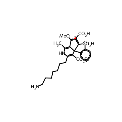 CCOC(=O)C1=C(CCCCCCCN)NC(C)=C(C(=O)OC)C1(/C(=C/C(=O)O)C(=O)O)c1ccccc1Cl